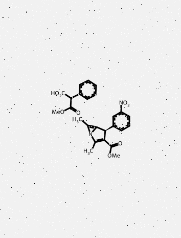 COC(=O)C(C(=O)O)c1ccccc1.COC(=O)C1=C(C)N2C(C)=C2[C@H]1c1cccc([N+](=O)[O-])c1